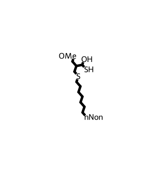 CCCCCCCCCCCCCCCCSCC(COC)C(O)S